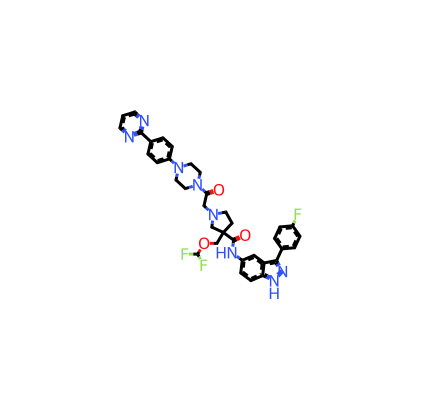 O=C(CN1CCC(COC(F)F)(C(=O)Nc2ccc3[nH]nc(-c4ccc(F)cc4)c3c2)C1)N1CCN(c2ccc(-c3ncccn3)cc2)CC1